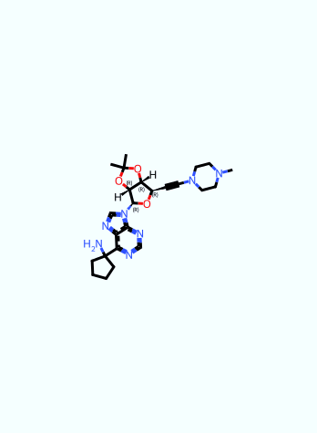 CN1CCN(C#C[C@H]2O[C@@H](n3cnc4c(C5(N)CCCC5)ncnc43)[C@@H]3OC(C)(C)O[C@@H]32)CC1